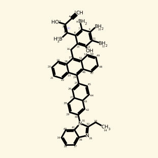 B/C(=C(\O)C#C)c1c(B)c(B)c(B)c(O)c1Cc1c2ccccc2c(C2=CC3C=CC(n4c(CC)nc5ccccc54)=CC3C=C2)c2ccccc12